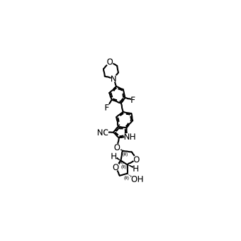 N#Cc1c(O[C@@H]2CO[C@H]3[C@@H]2OC[C@H]3O)[nH]c2ccc(-c3c(F)cc(N4CCOCC4)cc3F)cc12